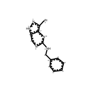 CC(C)c1n[nH]c2cnc(NCc3ccccc3)nc12